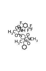 CC(C)C(NC(=O)c1cc(C(F)(F)F)ccc1F)C(=O)N1CCC2(CC1)C(=O)N(C)C(=O)N2[C@@H](C)c1ccccc1